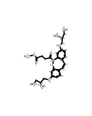 COC(=O)CCC(=O)N1Cc2cc(OC[C@@H](O)CO)ccc2/C=C\c2ccc(OC[C@@H](O)CO)cc21